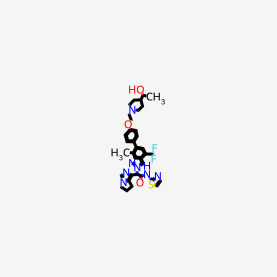 Cc1c(-c2ccc(OCCN3CCC(C(C)O)CC3)cc2)cc(C(F)F)c2cn(C(C(=O)Nc3nccs3)c3ncn4c3CCC4)nc12